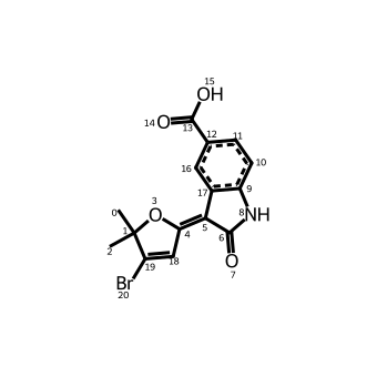 CC1(C)O/C(=C2/C(=O)Nc3ccc(C(=O)O)cc32)C=C1Br